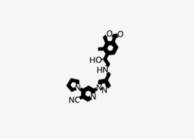 Cc1c([C@@H](O)CNCc2cnn(-c3cc(N4CCCC4)c(C#N)cn3)c2)ccc2c1COC2=O